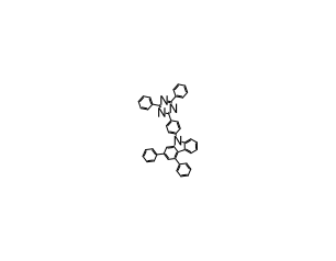 c1ccc(-c2cc(-c3ccccc3)c3c4ccccc4n(-c4ccc(-c5nc(-c6ccccc6)nc(-c6ccccc6)n5)cc4)c3c2)cc1